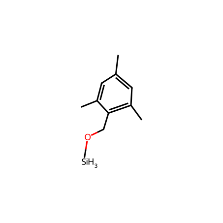 Cc1cc(C)c(CO[SiH3])c(C)c1